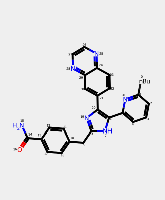 CCCCc1cccc(-c2[nH]c(Cc3ccc(C(N)=O)cc3)nc2-c2ccc3nccnc3c2)n1